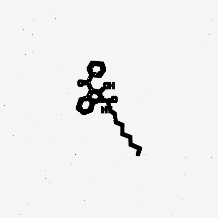 CCCCCCCCNC(=O)n1c(O)c(C(=O)c2ccccc2)c2ccccc21